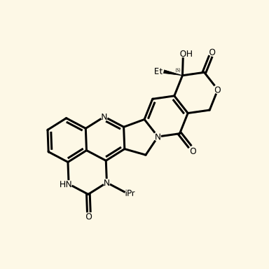 CC[C@@]1(O)C(=O)OCc2c1cc1n(c2=O)Cc2c-1nc1cccc3c1c2N(C(C)C)C(=O)N3